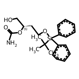 CC(C)(C)[Si](OCC[C@@H](CO)OC(N)=O)(c1ccccc1)c1ccccc1